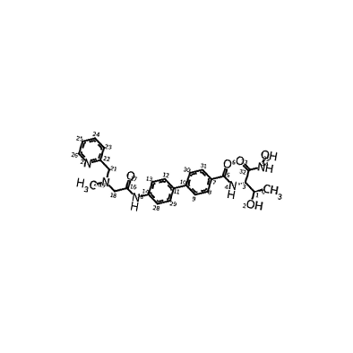 C[C@@H](O)[C@H](NC(=O)c1ccc(-c2ccc(NC(=O)CN(C)Cc3ccccn3)cc2)cc1)C(=O)NO